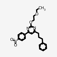 CCOCCOc1nc(CCCc2ccccc2)cc(-c2ccc([N+](=O)[O-])cc2)n1